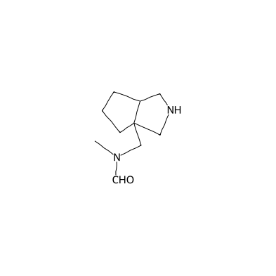 CN(C=O)CC12CCCC1CNC2